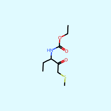 CCOC(=O)NC(CC)C(=O)CSC